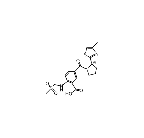 Cc1csc([C@H]2CCCN2C(=O)c2ccc(NCS(C)(=O)=O)c(C(=O)O)c2)n1